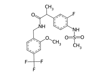 COc1cc(C(F)(F)F)ccc1CNC(=O)C(C)c1ccc(NS(C)(=O)=O)c(F)c1